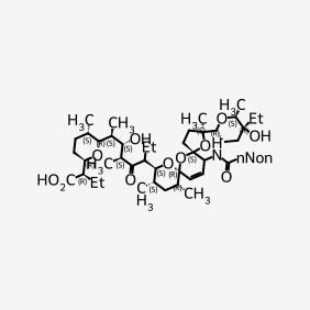 CCCCCCCCCC(=O)NC1C=C[C@]2(O[C@H](C(CC)C(=O)[C@@H](C)[C@@H](O)[C@H](C)[C@@H]3O[C@@H]([C@@H](CC)C(=O)O)CC[C@@H]3C)[C@@H](C)C[C@H]2C)O[C@@]12CC[C@@](C)([C@H]1CC[C@](O)(CC)[C@H](C)O1)O2